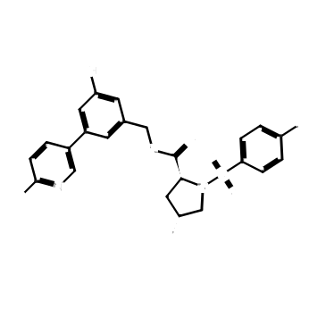 O=C(NCc1cc(O)cc(-c2ccc(C(F)(F)F)nc2)c1)[C@@H]1C[C@@H](F)CN1S(=O)(=O)c1ccc(F)cc1